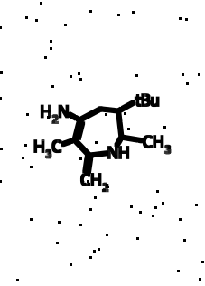 C=C1NC(C)C(C(C)(C)C)CC(N)=C1C